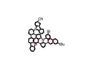 CC(C)(C)c1ccc(-c2cc(Br)cc(N(c3ccc(-c4c(-c5ccc6c(c5)oc5ccccc56)cccc4-n4c5ccccc5c5cc(C#N)ccc54)cc3)c3c(-c4ccccc4)cccc3-c3ccccc3)c2)cc1